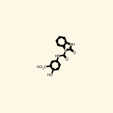 O=C(O)c1cc(NC(=O)n2c(=O)[nH]c3ccccc32)ccc1O